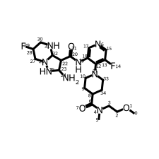 COCCN(C)C(=O)C1CCN(c2c(F)cncc2NC(=O)C2C(N)NN3CC(F)CNC23)CC1